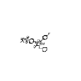 CC(C)(C)NS(=O)(=O)c1ccc(NC(=O)C(CC2CCCCC2)NC(=O)c2ccc(F)cc2)cc1